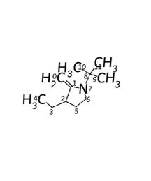 C=C1C(CC)CCN1C(C)(C)C